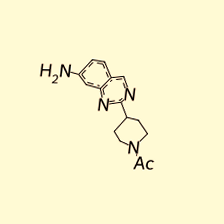 CC(=O)N1CCC(c2ncc3ccc(N)cc3n2)CC1